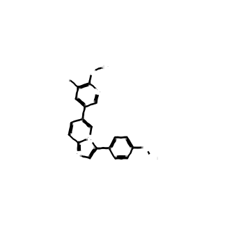 CC(C)Oc1ncc(-c2ccc3ncc(-c4ccc(OC(C)(C)C)cc4)n3c2)cc1Cl